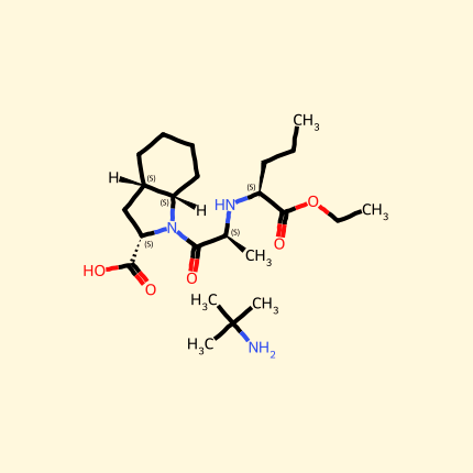 CC(C)(C)N.CCC[C@H](N[C@@H](C)C(=O)N1[C@H](C(=O)O)C[C@@H]2CCCC[C@@H]21)C(=O)OCC